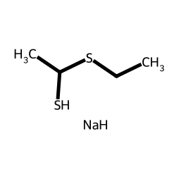 CCSC(C)S.[NaH]